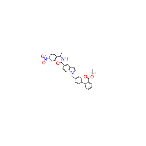 CC(NC(=O)c1ccc2c(ccn2Cc2ccc(-c3ccccc3C(=O)OC(C)(C)C)cc2)c1)c1ccc([N+](=O)[O-])cc1